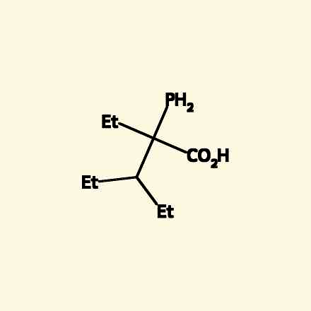 CCC(CC)C(P)(CC)C(=O)O